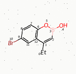 CCC1=CB(O)Oc2ccc(Br)cc21